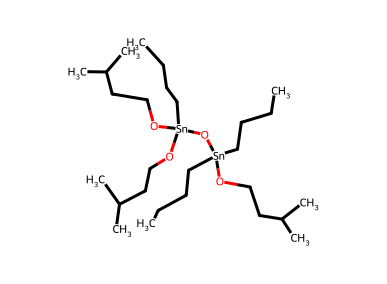 CCC[CH2][Sn]([CH2]CCC)([O]CCC(C)C)[O][Sn]([CH2]CCC)([O]CCC(C)C)[O]CCC(C)C